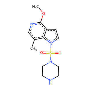 COc1ncc(C)c2c1ccn2S(=O)(=O)N1CCNCC1